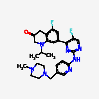 CC(C)N1CC(=O)Cc2c(F)cc(-c3nc(Nc4ccc(CN5CCN(C)CC5)cn4)ncc3F)cc21